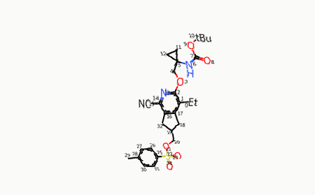 CCc1c(OCC2(NC(=O)OC(C)(C)C)CC2)nc(C#N)c2c1CC(COS(=O)(=O)c1ccc(C)cc1)C2